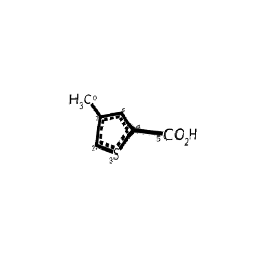 Cc1[c]sc(C(=O)O)c1